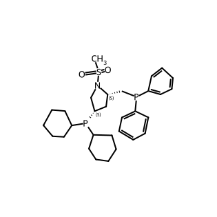 CS(=O)(=O)N1C[C@@H](P(C2CCCCC2)C2CCCCC2)C[C@H]1CP(c1ccccc1)c1ccccc1